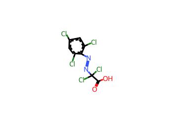 O=C(O)C(Cl)(Cl)/N=N/c1c(Cl)cc(Cl)cc1Cl